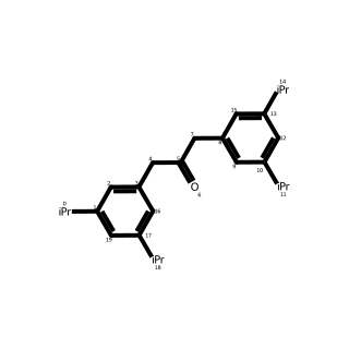 CC(C)c1cc(CC(=O)Cc2cc(C(C)C)cc(C(C)C)c2)cc(C(C)C)c1